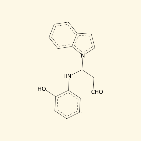 O=CCC(Nc1c[c]ccc1O)n1ccc2ccccc21